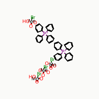 [O]=[Mn](=[O])([O-])[Br].[O]=[Mn](=[O])([O-])[Br].[O]=[Mn](=[O])([OH])[Br].[O]=[Mn](=[O])([OH])[Br].c1ccc([P+](c2ccccc2)(c2ccccc2)c2ccccc2)cc1.c1ccc([P+](c2ccccc2)(c2ccccc2)c2ccccc2)cc1